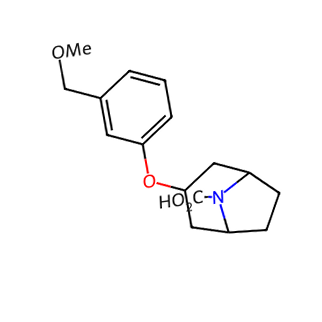 COCc1cccc(OC2CC3CCC(C2)N3C(=O)O)c1